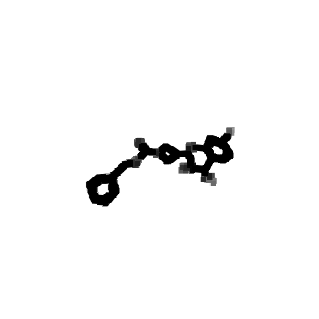 O=C(OCc1ccccc1)N1CC(CNC(c2ccc(F)cc2Cl)C(F)(F)F)C1